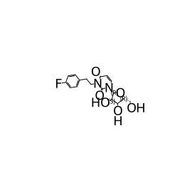 O=c1ccn([C@@H]2O[C@H](CO)C(O)[C@@H]2O)c(=O)n1CCc1ccc(F)cc1